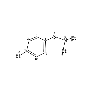 CCc1ccc(SN(CC)CC)cc1